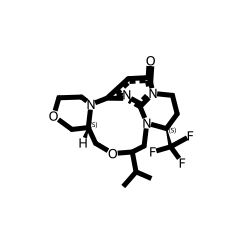 CC(C)C1CN2c3nc(cc(=O)n3CC[C@H]2C(F)(F)F)N2CCOC[C@H]2CO1